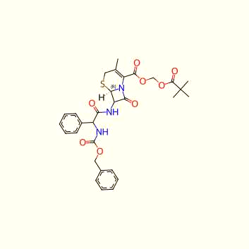 CC1=C(C(=O)OCOC(=O)C(C)(C)C)N2C(=O)C(NC(=O)C(NC(=O)OCc3ccccc3)c3ccccc3)[C@H]2SC1